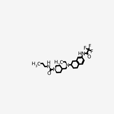 CCCNC(=O)N1CCC(CN(CC)C2CCc3ccc(NC(=O)C(F)(F)F)cc3C2)CC1